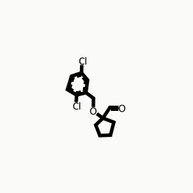 O=CC1(OCc2cc(Cl)ccc2Cl)CCCC1